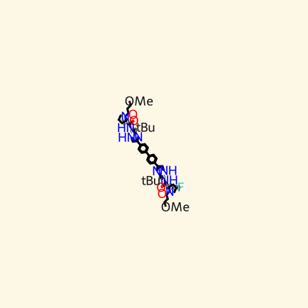 COCCC(=O)N1CCC[C@H]1C(=O)N[C@H](c1nc(-c2ccc(-c3ccc(-c4c[nH]c([C@@H](NC(=O)[C@@H]5C[C@@H](F)CN5C(=O)CCOC)C(C)(C)C)n4)cc3)cc2)c[nH]1)C(C)(C)C